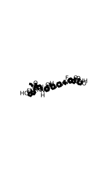 C=CCn1c(=O)c2cnc(Nc3ccc4c(c3)OC[C@H]3CN(C5CCN(C6CN(c7cc8c(cc7F)C(=O)N(C7CCC(=O)NC7=O)C8)C6)CC5)CCN43)nc2n1-c1ccc2c(n1)[C@@](O)(CC)CC2